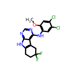 COc1cc(Cl)c(Cl)cc1Nc1ncnc2[nH]c3c(c12)CC(F)(F)CC3